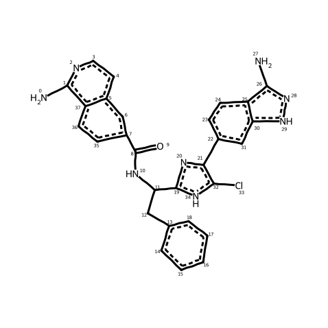 Nc1nccc2cc(C(=O)NC(Cc3ccccc3)c3nc(-c4ccc5c(N)n[nH]c5c4)c(Cl)[nH]3)ccc12